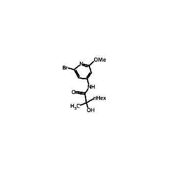 CCCCCCC(C)(O)C(=O)Nc1cc(Br)nc(OC)c1